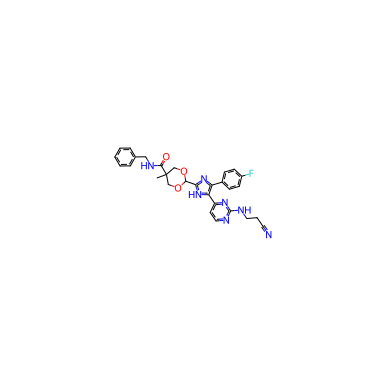 CC1(C(=O)NCc2ccccc2)COC(c2nc(-c3ccc(F)cc3)c(-c3ccnc(NCCC#N)n3)[nH]2)OC1